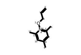 C=CCO[n+]1c(C)cc(C)cc1C